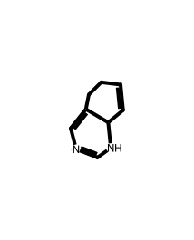 C1=CC2NC=[N+]C=C2CC1